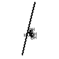 CCCCCCCCCCCCCCCCCCCCCC(CCCCCCCCCCCCCCCC)C(C(=O)O)C(O)(CC(=O)O)C(=O)O